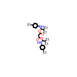 CCc1ccc(NC(OC(=O)CC(=O)OC(Nc2ccc(CC)cc2)C(CC)CC)C(CC)CC)cc1